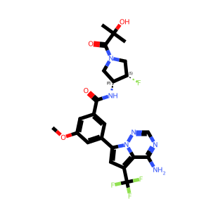 COc1cc(C(=O)N[C@@H]2CN(C(=O)C(C)(C)O)C[C@@H]2F)cc(-c2cc(C(F)(F)F)c3c(N)ncnn23)c1